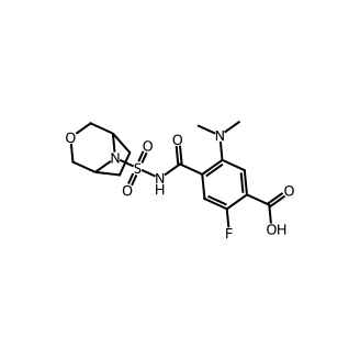 CN(C)c1cc(C(=O)O)c(F)cc1C(=O)NS(=O)(=O)N1C2CCC1COC2